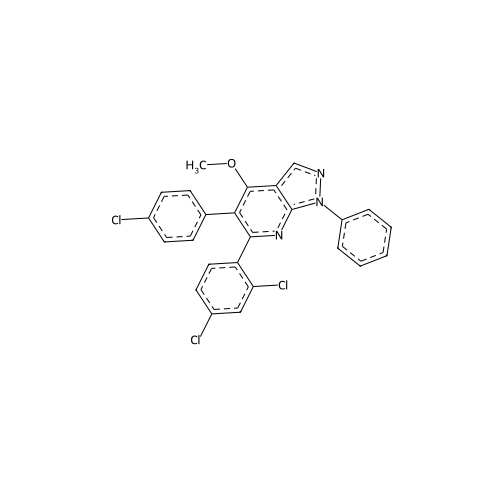 COc1c(-c2ccc(Cl)cc2)c(-c2ccc(Cl)cc2Cl)nc2c1cnn2-c1ccccc1